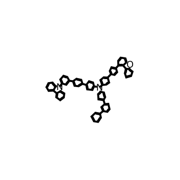 c1ccc(-c2cccc(-c3ccc(N(c4ccc(-c5ccc(-c6cccc(-n7c8ccccc8c8ccccc87)c6)cc5)cc4)c4ccc(-c5ccc(-c6cccc7oc8ccccc8c67)cc5)cc4)cc3)c2)cc1